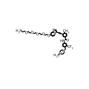 Cc1ccc(C(=O)Nc2ccc(CN3CCN(C)CC3)c(C(F)(F)F)c2)cc1C#Cc1cnc2cc(OCCOCCOCCOCCOCCN)ccn12